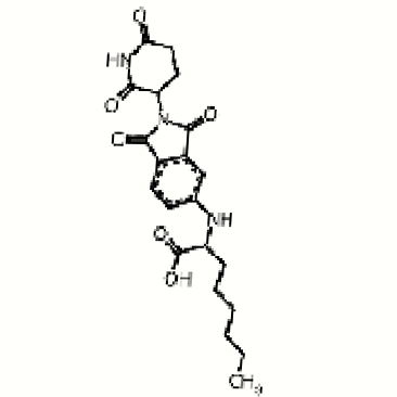 CCCCCCC(Nc1ccc2c(c1)C(=O)N(C1CCC(=O)NC1=O)C2=O)C(=O)O